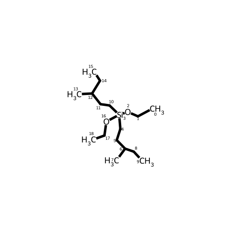 CCO[Si](CCC(C)CC)(CCC(C)CC)OCC